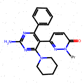 CC(C)n1nc(-c2c(-c3ccccc3)nc(N)nc2N2CCCCC2)ccc1=O